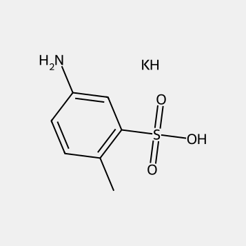 Cc1ccc(N)cc1S(=O)(=O)O.[KH]